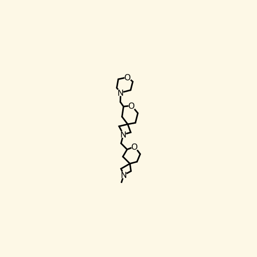 CN1CC2(CCOC(CN3CC4(CCOC(CN5CCOCC5)C4)C3)C2)C1